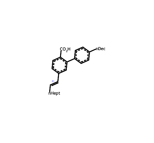 CCCCCCC/C=C/c1ccc(C(=O)O)c(-c2ccc(CCCCCCCCCC)cc2)c1